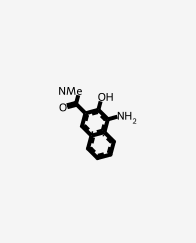 CNC(=O)c1cc2ccccc2c(N)c1O